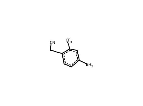 Bc1ccc(CC#N)c(C(F)(F)F)c1